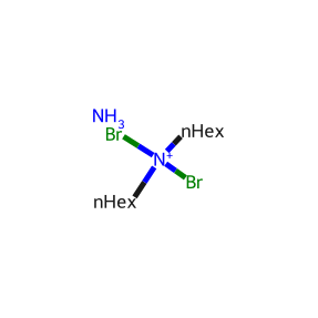 CCCCCC[N+](Br)(Br)CCCCCC.N